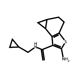 C=C(NCC1CC1)c1c(N)sc2c1C1CC1CC2